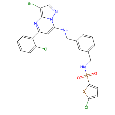 O=S(=O)(NCc1cccc(CNc2cc(-c3ccccc3Cl)nc3c(Br)cnn23)c1)c1ccc(Cl)s1